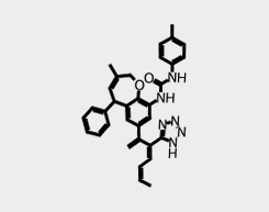 C=C(/C(=C\C=C/C)c1nnn[nH]1)c1cc(NC(=O)Nc2ccc(C)cc2)c2c(c1)C(c1ccccc1)C=C(C)CO2